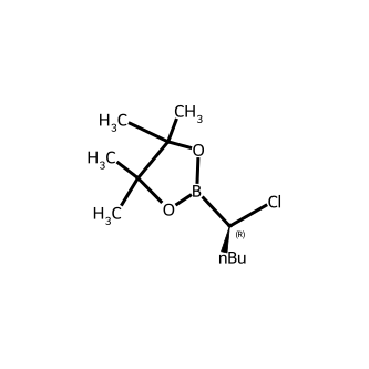 CCCC[C@H](Cl)B1OC(C)(C)C(C)(C)O1